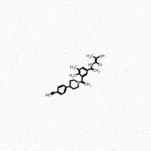 C#Cc1ccc(C2CCN(C(=C)c3cc(C(=C)N/C(CC)=C(\C)CCC)cc(C)c3C)CC2)cc1